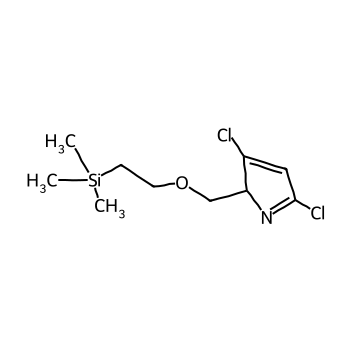 C[Si](C)(C)CCOCC1N=C(Cl)C=C1Cl